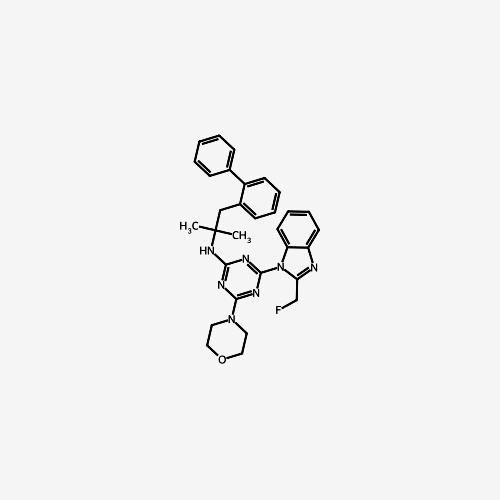 CC(C)(Cc1ccccc1-c1ccccc1)Nc1nc(N2CCOCC2)nc(-n2c(CF)nc3ccccc32)n1